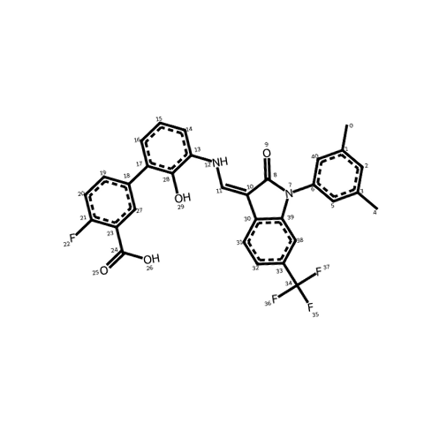 Cc1cc(C)cc(N2C(=O)/C(=C\Nc3cccc(-c4ccc(F)c(C(=O)O)c4)c3O)c3ccc(C(F)(F)F)cc32)c1